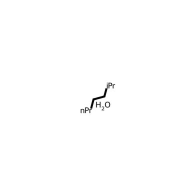 CCCCCC(C)C.O